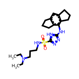 CCN(CC)CCCNS(=O)(=O)c1nnc(Nc2c3c(cc4c2CCC4)CCC3)[nH]1